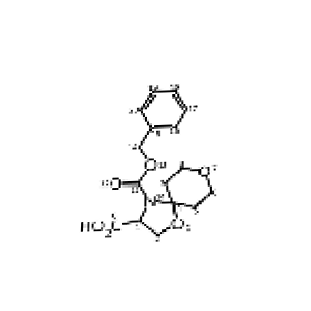 O=C(O)C1COC2(CCOCC2)N1C(=O)OCc1ccccc1